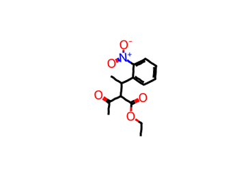 CCOC(=O)C(C(C)=O)C(C)c1ccccc1[N+](=O)[O-]